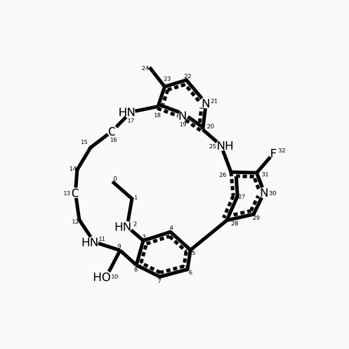 CCNc1cc2ccc1C(O)NCCCCCNc1nc(ncc1C)Nc1cc-2cnc1F